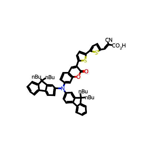 CCCCC1(CCCC)c2ccccc2-c2ccc(N(c3ccc4c(c3)C(CCCC)(CCCC)c3ccccc3-4)c3ccc4cc(-c5ccc(-c6ccc(/C=C(\C#N)C(=O)O)s6)s5)c(=O)oc4c3)cc21